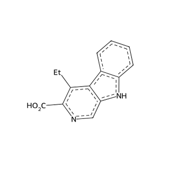 CCc1c(C(=O)O)ncc2[nH]c3ccccc3c12